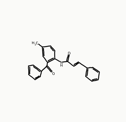 Cc1ccc(NC(=O)C=Cc2ccccc2)c(C(=O)c2ccccc2)c1